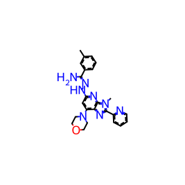 Cc1cccc(/C(N)=N/Nc2cc(N3CCOCC3)c3nc(-c4ccccn4)n(C)c3n2)c1